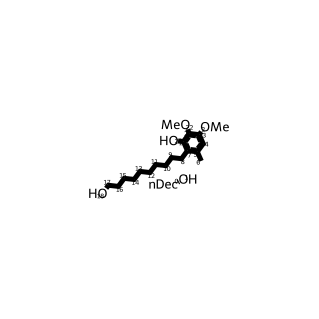 CCCCCCCCCCO.COc1cc(C)c(CCCCCCCCCCO)c(O)c1OC